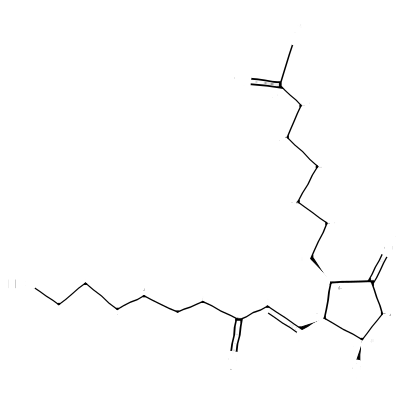 CCCCCCCC(=O)C=C[C@@H]1[C@H](O)CC(=O)[C@@H]1CCCCCCC(=O)O